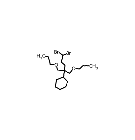 CCCOCC(CCC(Br)Br)(COCCC)C1CCCCC1